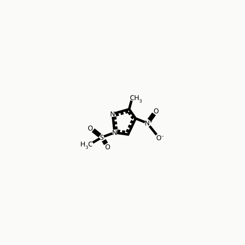 Cc1nn(S(C)(=O)=O)cc1[N+](=O)[O-]